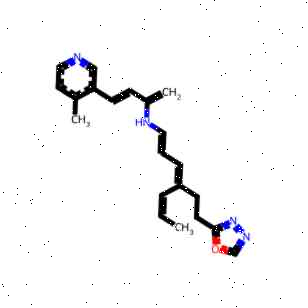 C=C(/C=C/c1cnccc1C)N/C=C/C=C(\C=C/C)CCc1nnco1